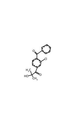 CC(C)(O)C(=O)c1ccc(C(=O)c2ccccc2)c(Cl)c1